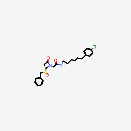 O=C(CN1C(=O)C[C@H]1[S@@+]([O-])Cc1ccccc1)NCCCCCCc1ccc(Cl)cc1